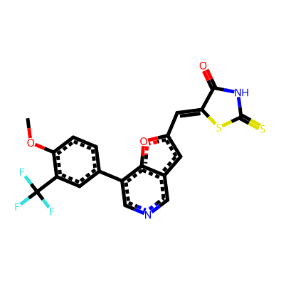 COc1ccc(-c2cncc3cc(/C=C4\SC(=S)NC4=O)oc23)cc1C(F)(F)F